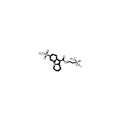 C[N+](C)([O-])CCOC(=O)c1c2ccc(S(C)(=O)=O)cc2n2ccccc12